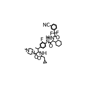 CC(c1ccc(NC(=O)C(NC(=O)C(F)(F)c2cccc(C#N)c2)C2CCCCC2)c(F)c1)C(NC(=O)CC1CC1)C(=O)N1CCN(C)CC1